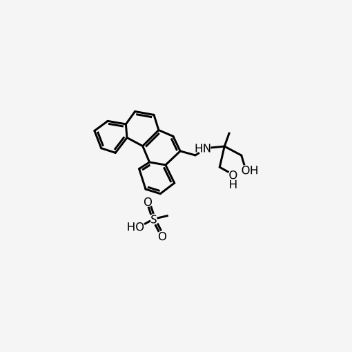 CC(CO)(CO)NCc1cc2ccc3ccccc3c2c2ccccc12.CS(=O)(=O)O